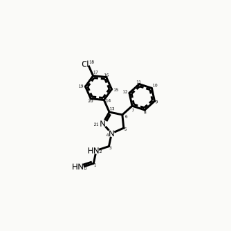 N=CNCN1CC(c2ccccc2)C(c2ccc(Cl)cc2)=N1